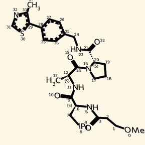 COCCC(=O)N[C@@H](CC(C)C)C(=O)N[C@@H](C)C(=O)N1CCC[C@H]1C(=O)NCc1ccc(-c2scnc2C)cc1